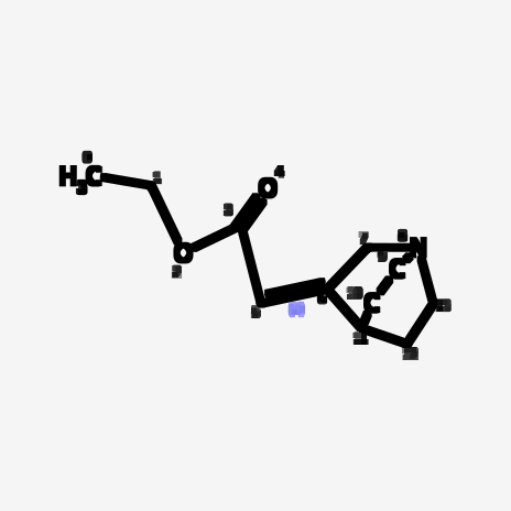 CCOC(=O)/C=C1\CN2CCC1CC2